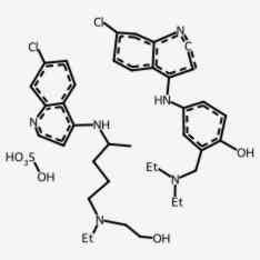 CCN(CC)Cc1cc(Nc2ccnc3cc(Cl)ccc23)ccc1O.CCN(CCO)CCCC(C)Nc1ccnc2cc(Cl)ccc12.O=S(=O)(O)O